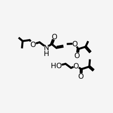 C=C(C)C(=O)OC.C=C(C)C(=O)OCCO.C=CC(=O)NCOCC(C)C